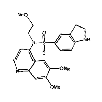 COCCN(c1cnnc2cc(OC)c(OC)cc12)S(=O)(=O)c1ccc2c(c1)CCN2